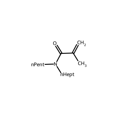 C=C(C)C(=O)N(CCCCC)CCCCCCC